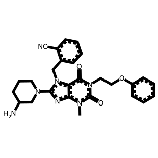 Cn1c(=O)n(CCOc2ccccc2)c(=O)c2c1nc(N1CCCC(N)C1)n2Cc1ccccc1C#N